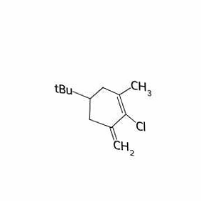 C=C1CC(C(C)(C)C)CC(C)=C1Cl